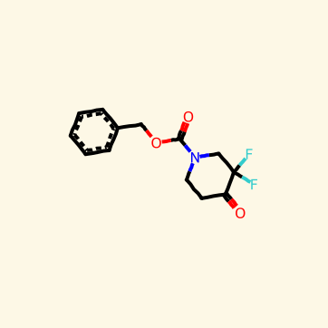 O=C(OCc1ccccc1)N1CCC(=O)C(F)(F)C1